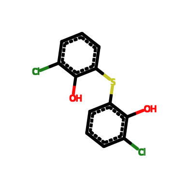 Oc1c(Cl)cccc1Sc1cccc(Cl)c1O